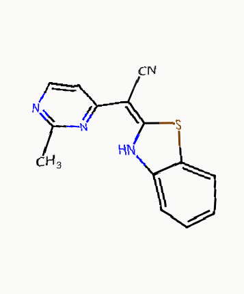 Cc1nccc(/C(C#N)=C2\Nc3ccccc3S2)n1